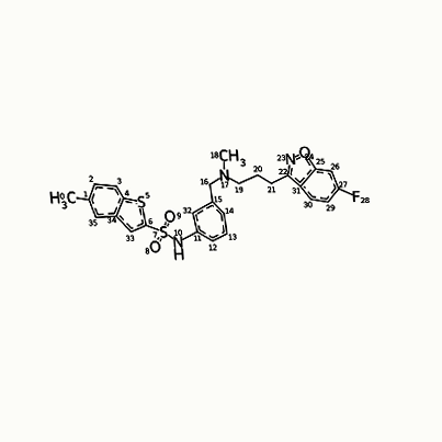 Cc1ccc2sc(S(=O)(=O)Nc3cccc(CN(C)CCCc4noc5cc(F)ccc45)c3)cc2c1